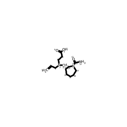 C=CCN(C)CCC(=O)O.NC(=O)N1CCCCCC1